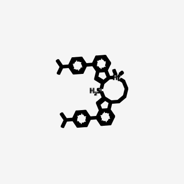 CC(C)c1ccc(-c2cccc3c2C=C2[SiH2]C4=Cc5c(-c6ccc(C(C)C)cc6)cccc5[CH]4[Hf]([CH3])([CH3])[CH2]CCCC23)cc1